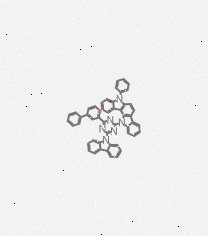 c1ccc(-c2cccc(-c3nc(-n4c5ccccc5c5ccccc54)nc(-n4c5ccccc5c5ccc6c(c7ccccc7n6-c6ccccc6)c54)n3)c2)cc1